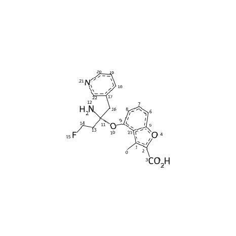 Cc1c(C(=O)O)oc2cccc(OC(N)(CCF)Cc3cccnc3)c12